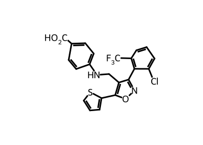 O=C(O)c1ccc(NCc2c(-c3c(Cl)cccc3C(F)(F)F)noc2-c2cccs2)cc1